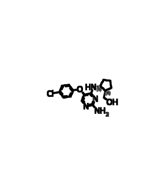 Nc1ncc(Oc2ccc(Cl)cc2)c(N[C@@H]2CCC[C@H]2CO)n1